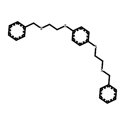 c1ccc(CSCCSc2ccc(SCCSCc3ccccc3)cc2)cc1